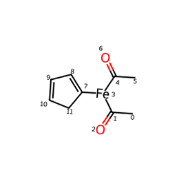 C[C](=O)[Fe]([C](C)=O)[C]1=CC=CC1